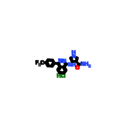 Cl.NC(=O)[C@@H]1CNC[C@H]1Nc1nnc(-c2ccc(C(F)(F)F)cc2)c2ccccc12